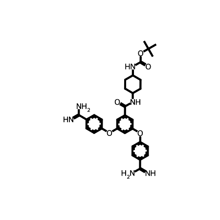 CC(C)(C)OC(=O)NC1CCC(NC(=O)c2cc(Oc3ccc(C(=N)N)cc3)cc(Oc3ccc(C(=N)N)cc3)c2)CC1